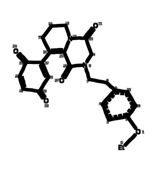 CCOc1ccc(CCN2CC(=O)N3CCCC(C4=CC(=O)C=CC4=O)=C3C2=O)cc1